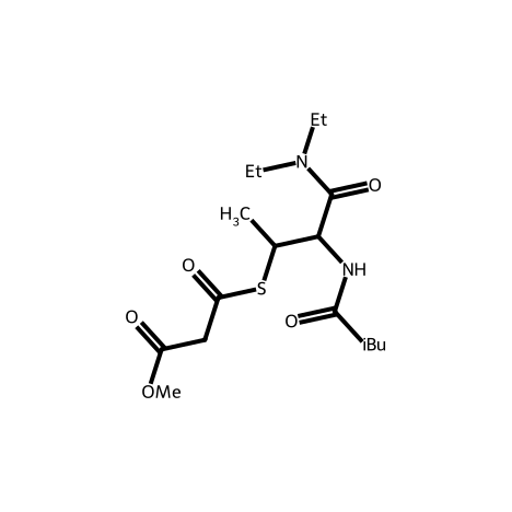 CCC(C)C(=O)NC(C(=O)N(CC)CC)C(C)SC(=O)CC(=O)OC